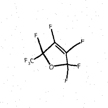 FC1=C(F)C(F)(C(F)(F)F)OC1(F)F